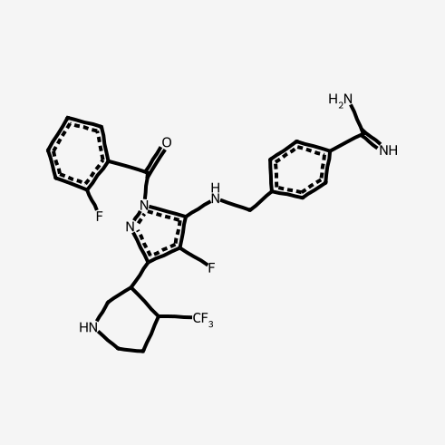 N=C(N)c1ccc(CNc2c(F)c(C3CNCCC3C(F)(F)F)nn2C(=O)c2ccccc2F)cc1